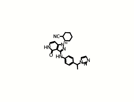 CC(c1ccc(Nc2nn([C@H]3CCCCC3C#N)c3cc[nH]c(=O)c23)cc1)n1ccnn1